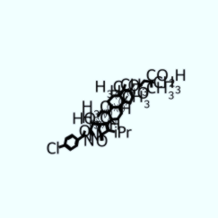 CC(C)C1=C2[C@H]3CC[C@@H]4[C@@]5(C)CC[C@H](OC(=O)CC(C)(C)C(=O)O)C(C)(C)[C@@H]5CC[C@@]4(C)[C@]3(C)CC[C@@]2([C@@H](O)c2nnc(-c3ccc(Cl)cc3)o2)CC1=O